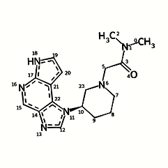 CN(C)C(=O)CN1CCC[C@@H](n2cnc3cnc4[nH]ccc4c32)C1